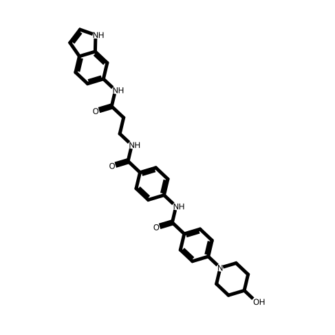 O=C(CCNC(=O)c1ccc(NC(=O)c2ccc(N3CCC(O)CC3)cc2)cc1)Nc1ccc2cc[nH]c2c1